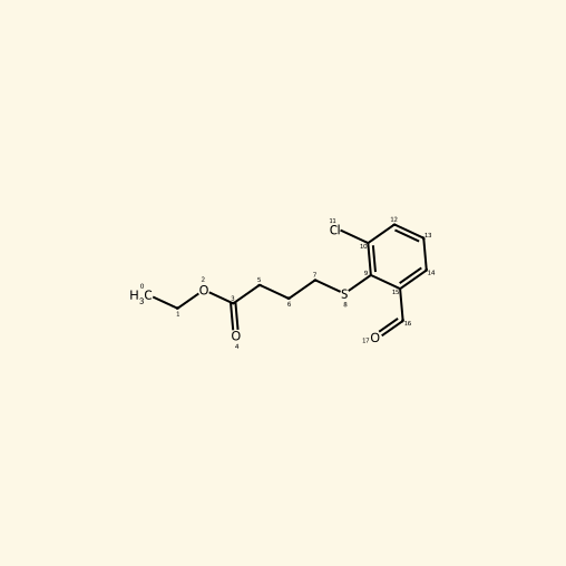 CCOC(=O)CCCSc1c(Cl)cccc1C=O